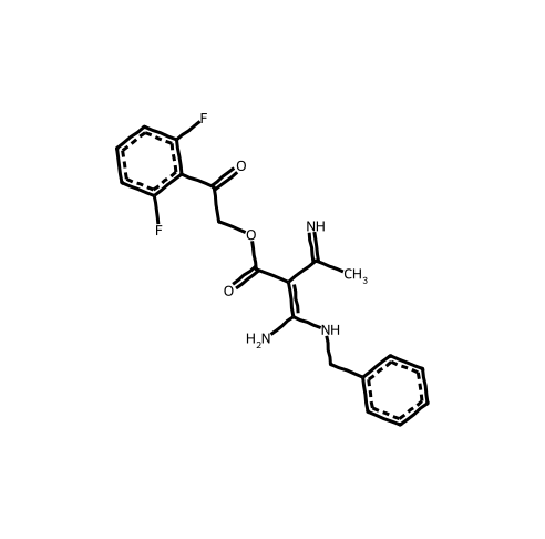 CC(=N)/C(C(=O)OCC(=O)c1c(F)cccc1F)=C(/N)NCc1ccccc1